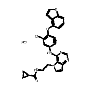 Cl.O=C(NCCn1ccc2ncnc(Nc3ccc(Oc4cccc5sccc45)c(Cl)c3)c21)C1CC1